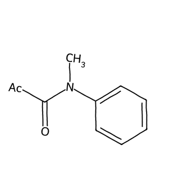 CC(=O)C(=O)N(C)c1ccccc1